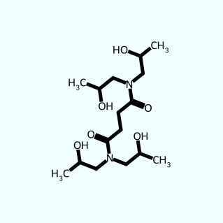 CC(O)CN(CC(C)O)C(=O)CCC(=O)N(CC(C)O)CC(C)O